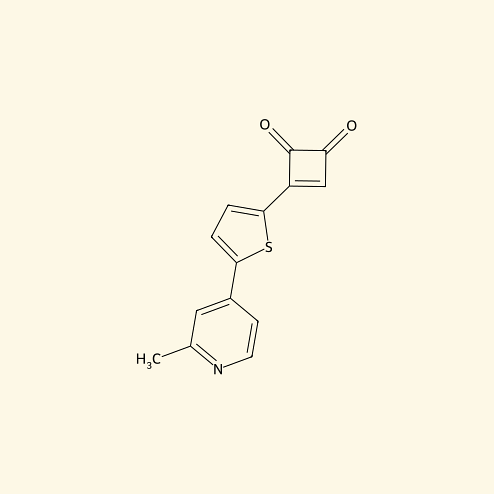 Cc1cc(-c2ccc(-c3cc(=O)c3=O)s2)ccn1